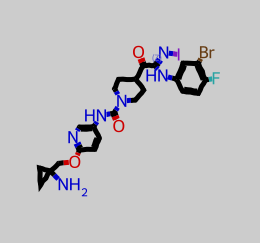 NC1(COc2ccc(NC(=O)N3CCC(C(=O)/C(=N/I)Nc4ccc(F)c(Br)c4)CC3)cn2)CC1